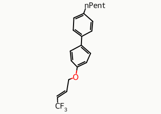 CCCCCc1ccc(-c2ccc(OCC=CC(F)(F)F)cc2)cc1